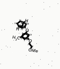 COCCOc1cc(C)cc(O[C@@H]2C[C@@H]3CC[C@@H](C3)C2)c1